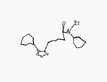 CCN(C(=O)CCCCc1nnnn1C1CCCCC1)C1CCCCC1